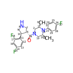 C[C@@H]1CN(C(=O)[C@H]2CNC[C@@H]2c2ccc(F)cc2F)C[C@H](C)N1c1ccc(F)cc1